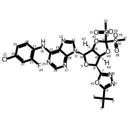 CC(C)(C)c1nnc([C@H]2O[C@@H](n3cnc4c(Nc5ccc(Cl)cc5F)ncnc43)[C@H]3OC(S(C)(=O)=O)(S(C)(=O)=O)O[C@H]32)o1